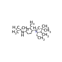 C=C/C(=C\c1ccc(NC(C)(C)C)cc1C)C(=C)C(C)(C)C